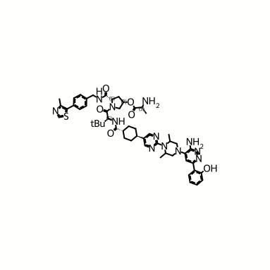 Cc1ncsc1-c1ccc(CNC(=O)[C@@H]2C[C@@H](OC(=O)[C@H](C)N)CN2C(=O)[C@@H](NC(=O)[C@H]2CC[C@H](c3cnc(N4C(C)CN(c5cc(-c6ccccc6O)nnc5N)CC4C)nc3)CC2)C(C)(C)C)cc1